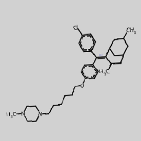 CC1CC2CC(C)/C(=C(/c3ccc(Cl)cc3)c3ccc(OCCCCCCN4CCN(C)CC4)cc3)C(C1)C2